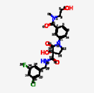 CN(CCO)C(=O)c1cccc(N2CC[C@](O)(C(=O)NCc3cc(F)cc(Cl)c3)C2=O)c1